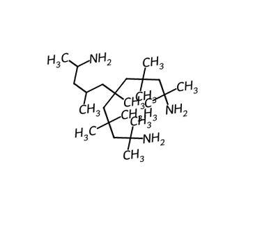 CC(N)CC(C)CC(C)(CC(C)(C)CC(C)(C)N)CC(C)(C)CC(C)(C)N